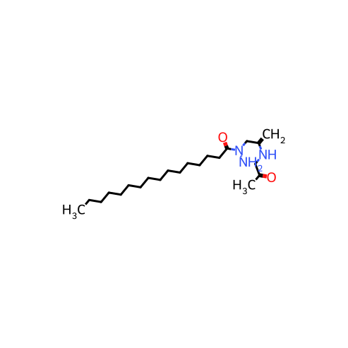 C=C(CN(N)C(=O)CCCCCCCCCCCCCCC)NCC(C)=O